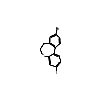 Brc1ccc2c(c1)CCOc1cc(I)ccc1-2